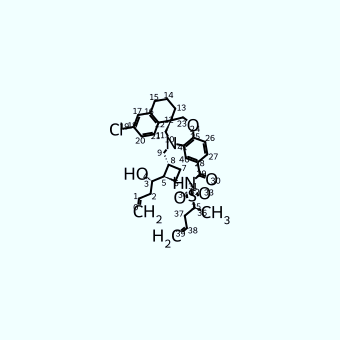 C=CC[C@H](O)[C@@H]1CC[C@H]1CN1C[C@@]2(CCCc3cc(Cl)ccc32)COc2ccc(C(=O)NS(=O)(=O)[C@@H](C)CC=C)cc21